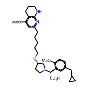 COc1ccc(CC2CC2)cc1[C@H](C(=O)O)N1CC[C@@H](OCCCCCc2cc(OC)c3c(n2)NCCC3)C1